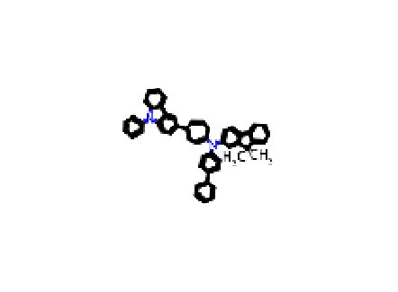 CC1(C)c2ccccc2-c2ccc(N(C3=CC=C(c4ccc5c(c4)c4ccccc4n5-c4ccccc4)C=CC3)c3ccc(-c4ccccc4)cc3)cc21